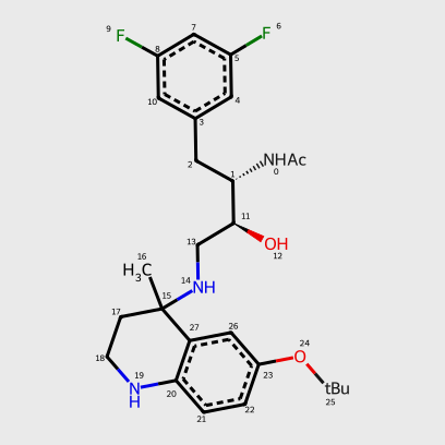 CC(=O)N[C@@H](Cc1cc(F)cc(F)c1)[C@@H](O)CNC1(C)CCNc2ccc(OC(C)(C)C)cc21